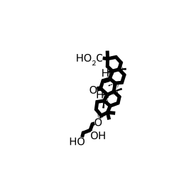 CC1(C(=O)O)CC[C@]2(C)CC[C@]3(C)C(=CC(=O)[C@@H]4[C@@]5(C)CC[C@H](OCC(O)CO)C(C)(C)C5CC[C@]43C)[C@@H]2C1